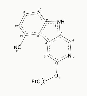 CCOC(=O)Oc1cc2c(cn1)[nH]c1cccc(C#N)c12